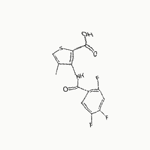 Cc1csc(C(=O)O)c1NC(=O)c1cc(F)c(F)cc1F